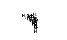 C=CC(=O)N1CCN(C(=O)c2cc(Sc3cnc(NC(=O)c4ccc(N5CCNCC5)cc4)s3)c(C)cc2OC)CC1